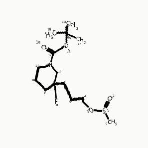 CS(=O)OCCCC1(F)CCCN(C(=O)OC(C)(C)C)C1